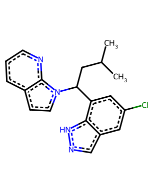 CC(C)CC(c1cc(Cl)cc2cn[nH]c12)n1ccc2cccnc21